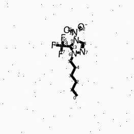 CCCCCCN1N=CN([N+](=O)[O-])C1C(F)(F)F